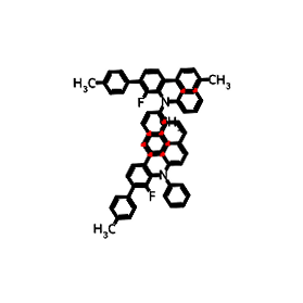 Cc1ccc(-c2ccc(-c3ccc(C)cc3)c(N(c3ccccc3)c3ccc4ccc5c(N(c6ccccc6)c6c(-c7ccc(C)cc7)ccc(-c7ccc(C)cc7)c6F)ccc6ccc3c4c65)c2F)cc1